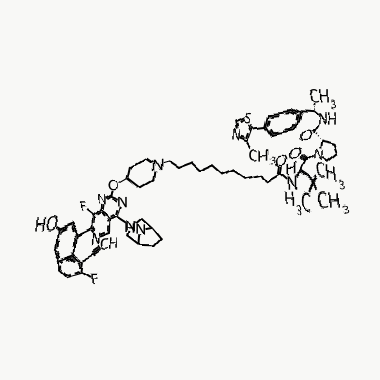 C#Cc1c(F)ccc2cc(O)cc(-c3ncc4c(N5CC6CCC(C5)N6)nc(OC5CCN(CCCCCCCCCCC(=O)NC(C(=O)N6CCC[C@H]6C(=O)N[C@@H](C)c6ccc(-c7scnc7C)cc6)C(C)(C)C)CC5)nc4c3F)c12